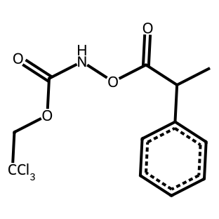 CC(C(=O)ONC(=O)OCC(Cl)(Cl)Cl)c1ccccc1